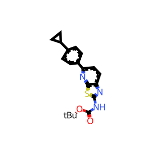 CC(C)(C)OC(=O)Nc1nc2ccc(-c3ccc(C4CC4)cc3)nc2s1